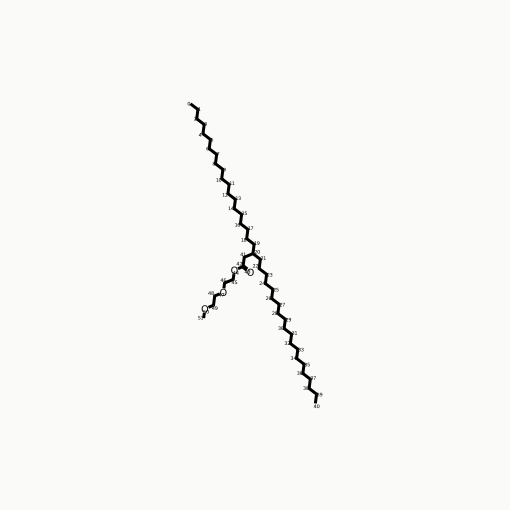 CCCCCCCCCCCCCCCCCCCCC(CCCCCCCCCCCCCCCCCCCC)CC(=O)OCCOCCOC